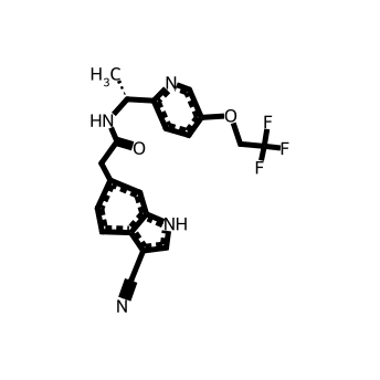 C[C@@H](NC(=O)Cc1ccc2c(C#N)c[nH]c2c1)c1ccc(OCC(F)(F)F)cn1